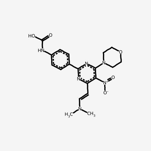 CN(C)C=Cc1nc(-c2ccc(NC(=O)O)cc2)nc(N2CCOCC2)c1[N+](=O)[O-]